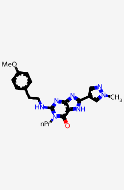 CCCn1c(NCCc2ccc(OC)cc2)nc2nc(-c3cnn(C)c3)[nH]c2c1=O